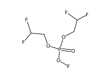 O=P(OF)(OCC(F)F)OCC(F)F